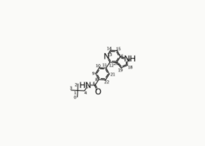 CC(C)(C)CNC(=O)c1ccc(-c2nccc3[nH]ccc23)cc1